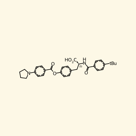 CC(C)(C)c1ccc(C(=O)N[C@@H](Cc2ccc(OC(=O)c3ccc(N4CCCC4)cc3)cc2)C(=O)O)cc1